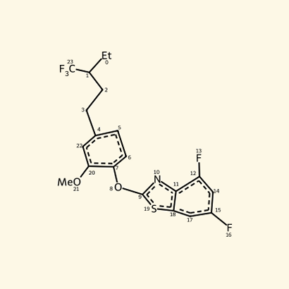 CCC(CCc1ccc(Oc2nc3c(F)cc(F)cc3s2)c(OC)c1)C(F)(F)F